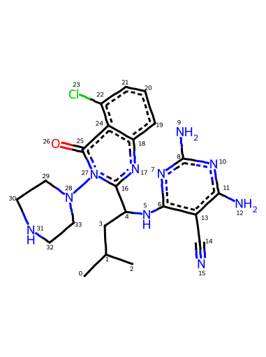 CC(C)CC(Nc1nc(N)nc(N)c1C#N)c1nc2cccc(Cl)c2c(=O)n1N1CCNCC1